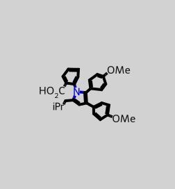 COc1ccc(-c2cc(CC(C)C)n(-c3ccccc3C(=O)O)c2-c2ccc(OC)cc2)cc1